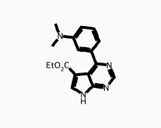 CCOC(=O)c1c[nH]c2ncnc(-c3cccc(N(C)C)c3)c12